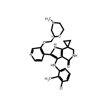 Cc1c(Cl)cccc1Nc1c(-c2ccncc2OC[C@H]2CN(C)CCO2)[nH]c2c1C(=O)NCC21CC1